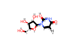 [3H]c1cn(C2O[C@H](CO)[C@@H](O)[C@@H]2O)c(=O)[nH]c1=O